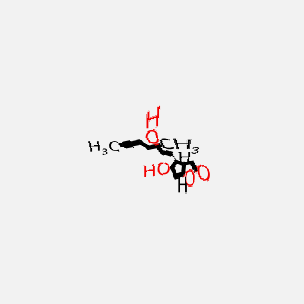 CC#CCCC(C)(O)/C=C/[C@@H]1[C@H]2CC(=O)O[C@H]2C[C@H]1O